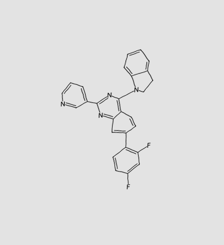 Fc1ccc(-c2ccc3c(N4CCc5ccccc54)nc(-c4cccnc4)nc3c2)c(F)c1